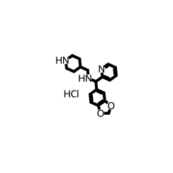 Cl.c1ccc(C(NCC2CCNCC2)c2ccc3c(c2)OCO3)nc1